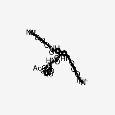 CC(=O)OCCN(CCNC(=O)OCC1c2cc(CNCCOCCOCCOCCN=[N+]=[N-])ccc2-c2ccc(C(=O)NCCOCCOCCOCCN=[N+]=[N-])cc21)CC(=O)ON1C(=O)CCC1=O